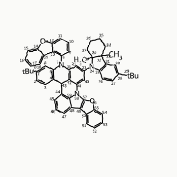 CC(C)(C)c1ccc2c(c1)N(c1cccc3oc4ccccc4c13)c1cc(N3c4ccc(C(C)(C)C)cc4C4(C)CCCCC34C)cc3c1C2c1cccc2c4c5ccccc5oc4n-3c12